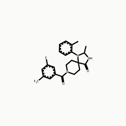 Cc1ccccc1N1C(C)NC(=O)C12CCN(C(=O)c1cc(F)cc(C(F)(F)F)c1)CC2